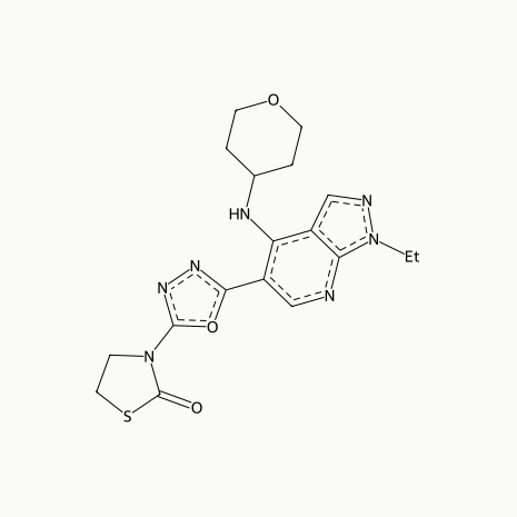 CCn1ncc2c(NC3CCOCC3)c(-c3nnc(N4CCSC4=O)o3)cnc21